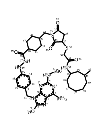 CCCCNc1nc(N)c2nc(O)n(Cc3ccc(NNC(=O)C4CCC(CN5C(=O)CC(SCC(=O)NC6CCCCCC(C)C6)C5=O)CC4)cc3)c2n1